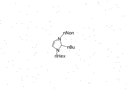 CCCCCCCCCN1C=CN(CCCCCC)C1CCCC